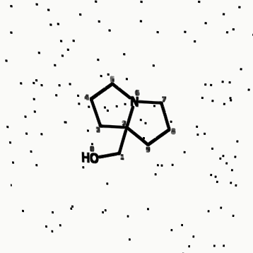 OCC12CCCN1CCC2